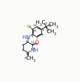 C=C1CCC(Nc2ccc(C(C)(C)C)cc2F)C(=O)N1